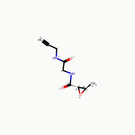 C#CCNC(=O)CNC(=O)[C@H]1O[C@@H]1C